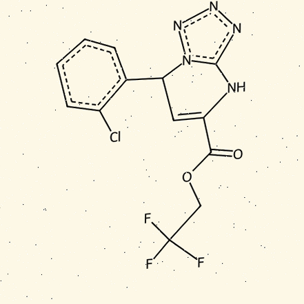 O=C(OCC(F)(F)F)C1=CC(c2ccccc2Cl)n2nnnc2N1